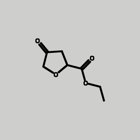 CCOC(=O)C1CC(=O)CO1